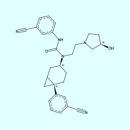 N#Cc1cccc(NC(=O)N(CCN2CC[C@@H](O)C2)[C@H]2CC[C@]3(c4cccc(C#N)c4)CC3C2)c1